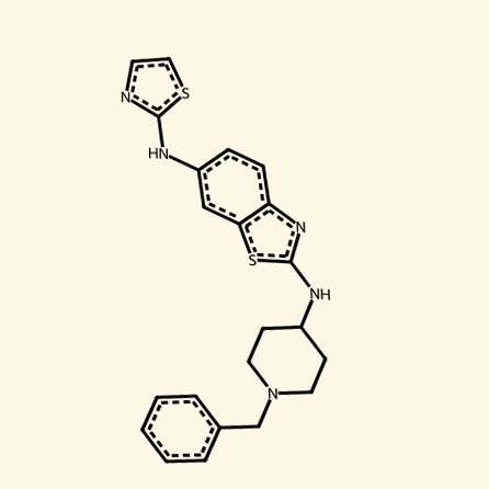 c1ccc(CN2CCC(Nc3nc4ccc(Nc5nccs5)cc4s3)CC2)cc1